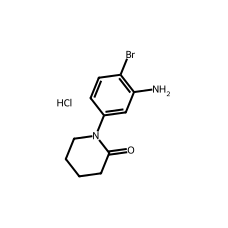 Cl.Nc1cc(N2CCCCC2=O)ccc1Br